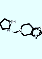 [c]1nc2c(s1)CN(C[C@@H]1CCCN1)CC2